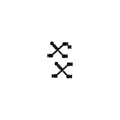 I.O=P(O)(O)O.O=P(O)(O)O